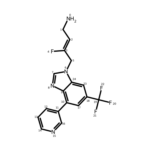 NC/C=C(\F)Cn1cnc2c(-c3cccnc3)cc(C(F)(F)F)cc21